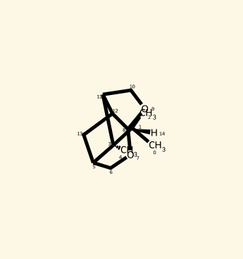 CC(C)[C@@]1(C)C2CO[C@H]3OCC1C3C2